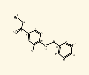 Cc1cc(C(=O)CBr)ccc1OCc1cccnc1